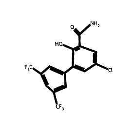 NC(=O)c1cc(Cl)cc(-c2cc(C(F)(F)F)cc(C(F)(F)F)c2)c1O